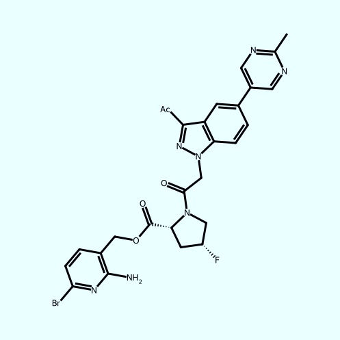 CC(=O)c1nn(CC(=O)N2C[C@H](F)C[C@@H]2C(=O)OCc2ccc(Br)nc2N)c2ccc(-c3cnc(C)nc3)cc12